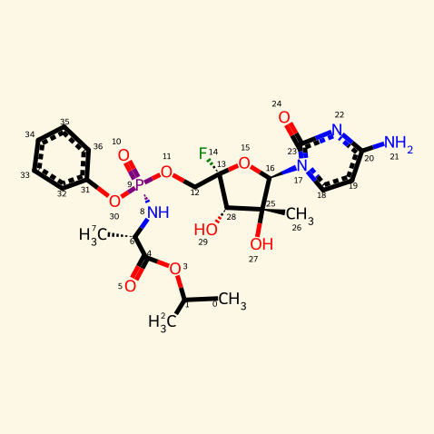 CC(C)OC(=O)[C@H](C)N[P@](=O)(OC[C@@]1(F)O[C@@H](n2ccc(N)nc2=O)[C@](C)(O)[C@@H]1O)Oc1ccccc1